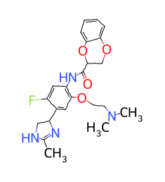 CC1=NC(c2cc(OCCN(C)C)c(NC(=O)C3COc4ccccc4O3)cc2F)CN1